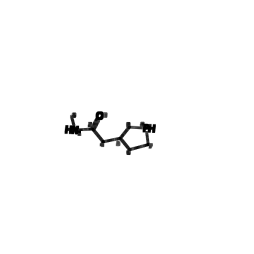 CNC(=O)CC1CCPC1